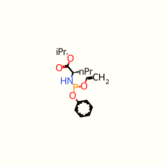 C=COP(N[C@H](CCC)C(=O)OC(C)C)Oc1ccccc1